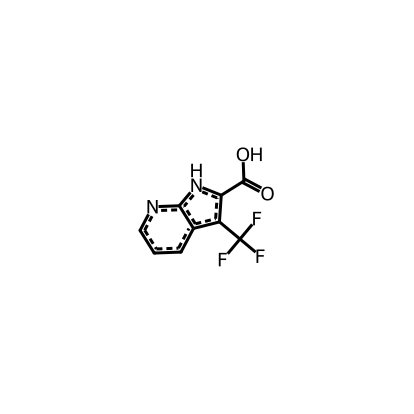 O=C(O)c1[nH]c2ncccc2c1C(F)(F)F